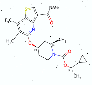 CNC(=O)c1csc2c(C(F)(F)F)c(C)c(O[C@@H]3CCN(C(=O)O[C@@H](C)C4CC4)[C@H](C)C3)nc12